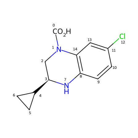 O=C(O)N1C[C@H](C2CC2)Nc2ccc(Cl)cc21